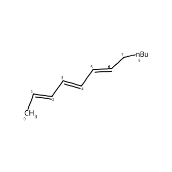 C/C=C/C=C/C=C/CCCCC